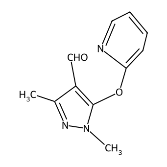 Cc1nn(C)c(Oc2ccccn2)c1C=O